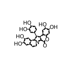 O=c1oc2cc(O)c(O)cc2c2c(-c3ccc(O)c(O)c3)c3c4cc(O)c(O)cc4ccn3c12